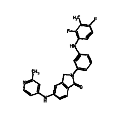 Cc1cc(Nc2ccc3c(c2)CN(c2cccc(Nc4ccc(F)c(C)c4F)c2)C3=O)ccn1